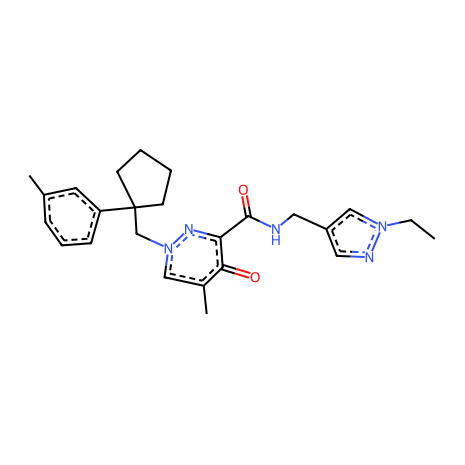 CCn1cc(CNC(=O)c2nn(CC3(c4cccc(C)c4)CCCC3)cc(C)c2=O)cn1